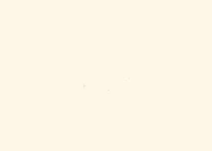 O=C(COC(F)C(F)F)c1ccccc1